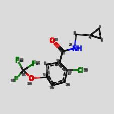 O=C(NCC1CC1)c1cc(OC(F)(F)F)ccc1Cl